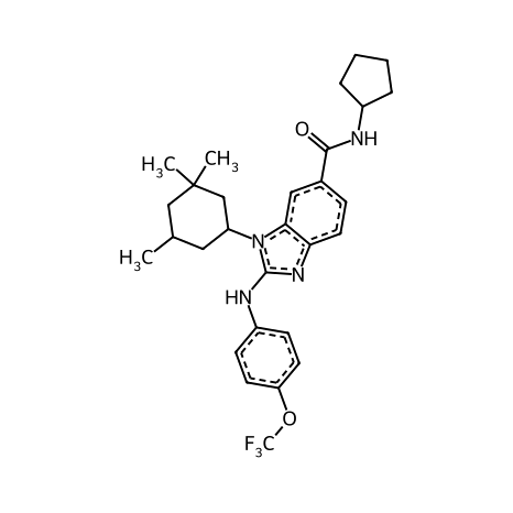 CC1CC(n2c(Nc3ccc(OC(F)(F)F)cc3)nc3ccc(C(=O)NC4CCCC4)cc32)CC(C)(C)C1